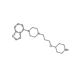 c1cc(N2CCN(CCCOC3CCNCC3)CC2)c2ccsc2c1